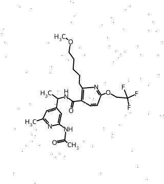 COCCCCCc1nc(OCC(F)(F)F)ccc1C(=O)NC(C)c1cc(C)nc(NC(C)=O)c1